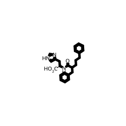 O=C(N[C@@H](Cc1c[nH]cn1)C(=O)O)C(CCCc1ccccc1)Cc1ccccc1